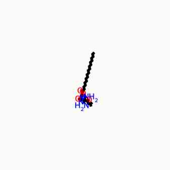 CCCCCCCCCCCCCCCCCCCC(=O)OCn1c(N)c(C(=O)[C@@H](N)C(C)C)cnc1=O